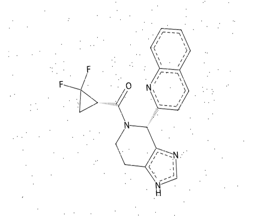 O=C([C@@H]1CC1(F)F)N1CCc2[nH]cnc2[C@H]1c1ccc2ccccc2n1